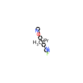 CC(C)C(C)(c1ccc(OCc2ccccn2)cc1)c1ccc(-c2ccc(F)nn2)cc1